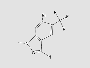 Cn1nc(I)c2cc(C(F)(F)F)c(Br)cc21